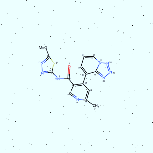 COc1nnc(NC(=O)c2cnc(C)cc2-c2cccn3nnnc23)s1